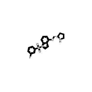 O=S(=O)(c1cccc(F)c1)n1ccc2c(OC[C@@H]3CCCN3)cccc21